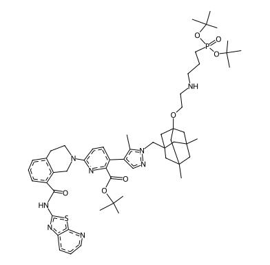 Cc1c(-c2ccc(N3CCc4cccc(C(=O)Nc5nc6cccnc6s5)c4C3)nc2C(=O)OC(C)(C)C)cnn1CC12CC3(C)CC(C)(C1)CC(OCCNCCCP(=O)(OC(C)(C)C)OC(C)(C)C)(C3)C2